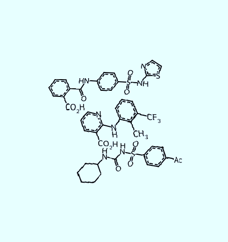 CC(=O)c1ccc(S(=O)(=O)NC(=O)NC2CCCCC2)cc1.Cc1c(Nc2ncccc2C(=O)O)cccc1C(F)(F)F.O=C(O)c1ccccc1C(=O)Nc1ccc(S(=O)(=O)Nc2nccs2)cc1